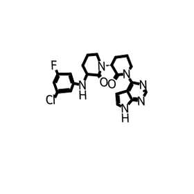 O=C1[C@H](N2CCCC(Nc3cc(F)cc(Cl)c3)C2=O)CCCN1c1ncnc2[nH]ccc12